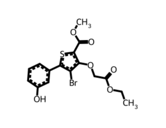 CCOC(=O)COc1c(C(=O)OC)sc(-c2cccc(O)c2)c1Br